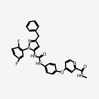 CNC(=O)c1cc(Oc2ccc(NC(=O)Nc3cc(Cc4ccccc4)nn3-c3cc(F)ccc3F)cc2)ccn1